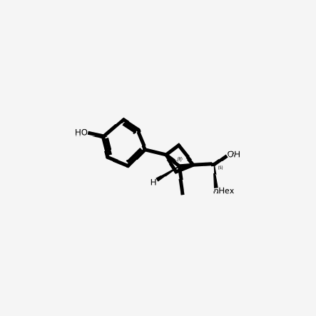 CCCCCC[C@H](O)C12CC(c3ccc(O)cc3)(C1)[C@H]2C